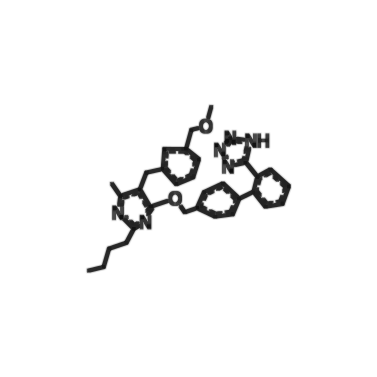 CCCCc1nc(C)c(Cc2cccc(COC)c2)c(OCc2ccc(-c3ccccc3-c3nnn[nH]3)cc2)n1